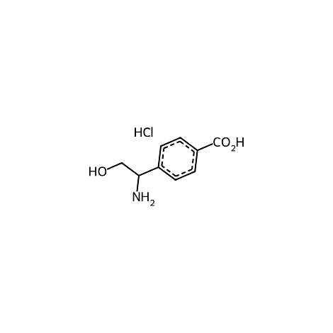 Cl.NC(CO)c1ccc(C(=O)O)cc1